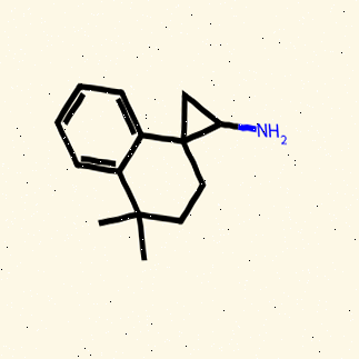 CC1(C)CCC2(CC2N)c2ccccc21